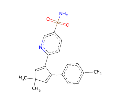 CC1(C)C=C(c2ccc(C(F)(F)F)cc2)C(c2ccc(S(N)(=O)=O)cn2)=C1